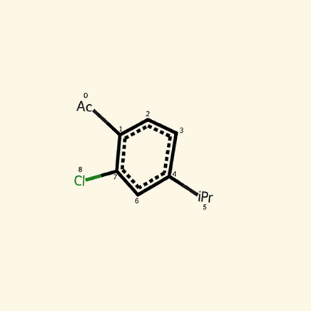 CC(=O)c1ccc(C(C)C)cc1Cl